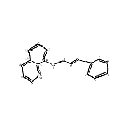 C(=Cc1ccccc1)COc1cccc2cccnc12